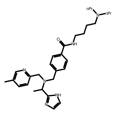 CCCN(CCC)CCCCNC(=O)c1ccc(CN(Cc2ccc(C)cn2)C(C)c2ncc[nH]2)cc1